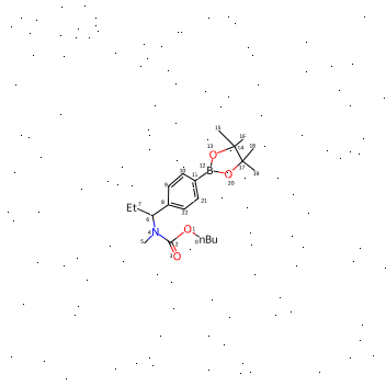 CCCCOC(=O)N(C)C(CC)c1ccc(B2OC(C)(C)C(C)(C)O2)cc1